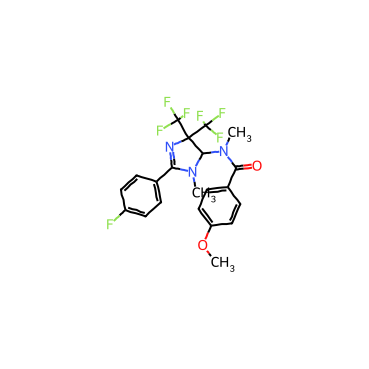 COc1ccc(C(=O)N(C)C2N(C)C(c3ccc(F)cc3)=NC2(C(F)(F)F)C(F)(F)F)cc1